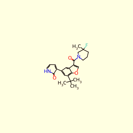 CC1(F)CCCN(C(=O)c2coc3c(C(C)(C)C)cc(-c4ccc[nH]c4=O)cc23)C1